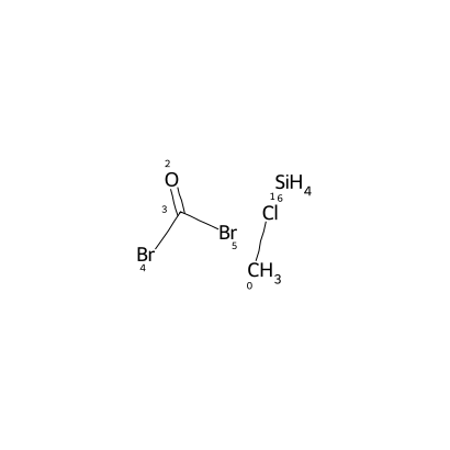 CCl.O=C(Br)Br.[SiH4]